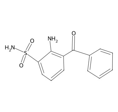 Nc1c(C(=O)c2ccccc2)cccc1S(N)(=O)=O